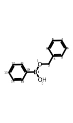 OB(OCc1ccccc1)c1ccccc1